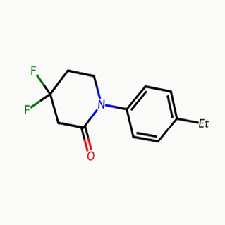 CCc1ccc(N2CCC(F)(F)CC2=O)cc1